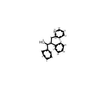 OC(c1ccccc1)C(Cc1ccccn1)c1ccccc1